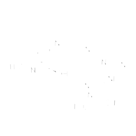 Cc1c(Nc2nccc(-c3cccc(-c4cc([C@]5(O)CCN(C)C5=O)on4)n3)n2)cnn1C